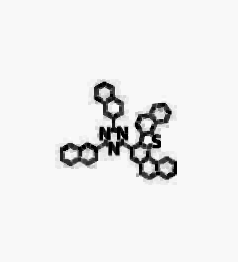 c1ccc2cc(-c3nc(-c4ccc5ccccc5c4)nc(-c4cc5ccc6ccccc6c5c5sc6c7ccccc7ccc6c45)n3)ccc2c1